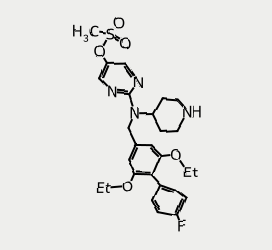 CCOc1cc(CN(c2ncc(OS(C)(=O)=O)cn2)C2CCNCC2)cc(OCC)c1-c1ccc(F)cc1